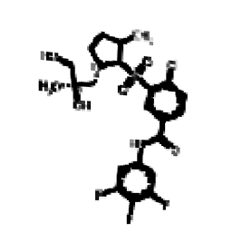 CC1CC[C@@H](C[C@@](C)(O)CO)C1S(=O)(=O)c1cc(C(=O)Nc2cc(F)c(F)c(F)c2)ccc1Cl